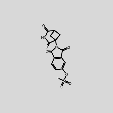 O=C1NC(=O)C2(N3C(=O)c4ccc(OS(=O)(=O)F)cc4C3=O)CC1C2